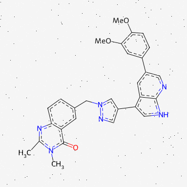 COc1ccc(-c2cnc3[nH]cc(-c4cnn(Cc5ccc6nc(C)n(C)c(=O)c6c5)c4)c3c2)cc1OC